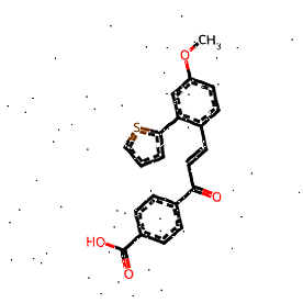 COc1ccc(C=CC(=O)c2ccc(C(=O)O)cc2)c(-c2cccs2)c1